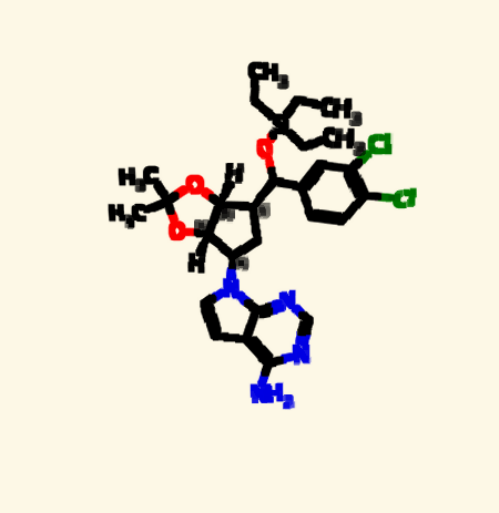 CC[Si](CC)(CC)OC(c1ccc(Cl)c(Cl)c1)[C@H]1C[C@@H](n2ccc3c(N)ncnc32)[C@@H]2OC(C)(C)O[C@@H]21